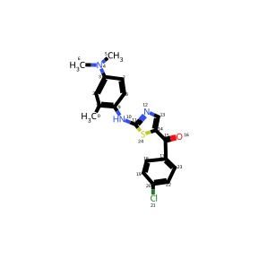 Cc1cc(N(C)C)ccc1Nc1ncc(C(=O)c2ccc(Cl)cc2)s1